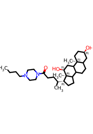 CCCCN1CCN(C(=O)CCC(C)[C@H]2CCC3C4CCC5C[C@H](O)CC[C@]5(C)C4C[C@H](O)[C@@]32C)CC1